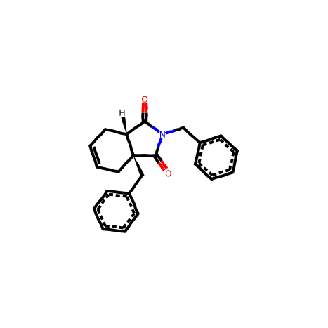 O=C1[C@H]2CC=CC[C@@]2(Cc2ccccc2)C(=O)N1Cc1ccccc1